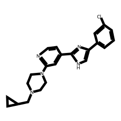 Clc1cccc(-c2c[nH]c(-c3ccnc(N4CCN(CC5CC5)CC4)c3)n2)c1